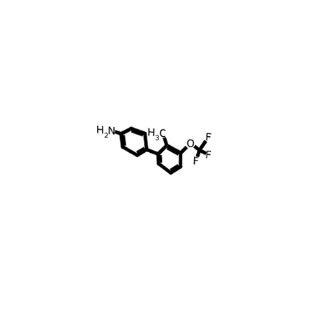 Cc1c(OC(F)(F)F)cccc1-c1ccc(N)cc1